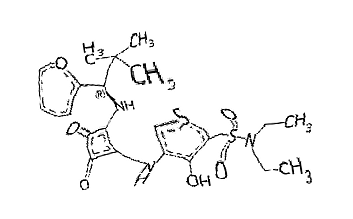 CCN(CC)S(=O)(=O)c1scc(Nc2c(N[C@@H](c3ccco3)C(C)(C)C)c(=O)c2=O)c1O